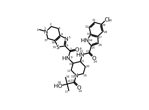 CN1CCc2nc(C(=O)NC3CN(C(=O)C(C)(C)O)CCC3NC(=O)c3cc4cc(Cl)ccc4[nH]3)sc2C1